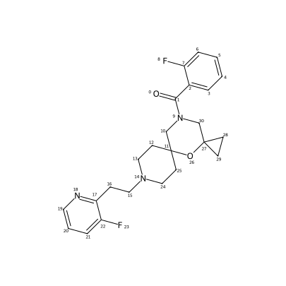 O=C(c1ccccc1F)N1CC2(CCN(CCc3ncccc3F)CC2)OC2(CC2)C1